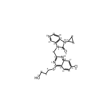 O=c1n(Cc2nc(SCCCO)c3ccc(Cl)cc3n2)c2cnccc2n1C1CC1